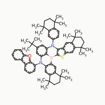 CC(C)(C)c1cc2c3c(c1)N(c1cccc4c1oc1ccccc14)c1cc4c(cc1B3c1sc3cc5c(cc3c1N2c1ccc2c(c1)C(C)(C)CCC2(C)C)C(C)(C)CCC5(C)C)C(C)(C)CCC4(C)C